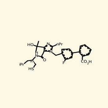 CCCc1nc(C(C)(C)O)c(C(=O)N[C@@H](CS)CC(C)C)n1Cc1ccc(-c2ccccc2C(=O)O)cc1F